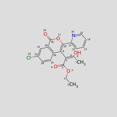 CCOC(=O)/C(=C(\C)O)c1c(-c2ccccn2)oc(=O)c2cc(Cl)ccc12